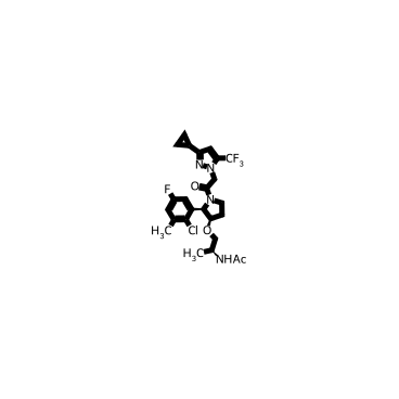 CC(=O)N[C@H](C)CO[C@@H]1CCN(C(=O)Cn2nc(C3CC3)cc2C(F)(F)F)[C@@H]1c1cc(F)cc(C)c1Cl